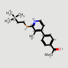 COC(=O)c1ccc(-c2ccnc(SCC[Si](C)(C)C)c2C#N)cc1